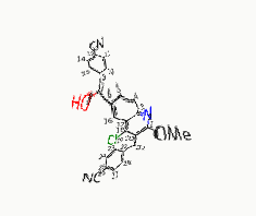 COc1nc2ccc(C(O)c3ccc(C#N)cc3)cc2c(Cl)c1Cc1ccc(C#N)cc1